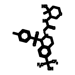 Cc1ccc(S(=O)(=O)N2c3ccc(C(O)(C(F)(F)F)C(F)(F)F)cc3CC[C@H]2CC(=O)NC2COCCC2(C)O)cc1